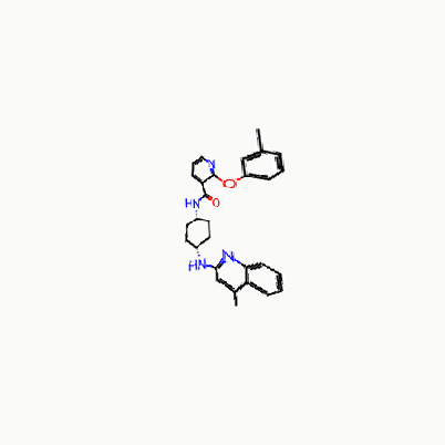 Cc1cccc(Oc2ncccc2C(=O)N[C@H]2CC[C@@H](Nc3cc(C)c4ccccc4n3)CC2)c1